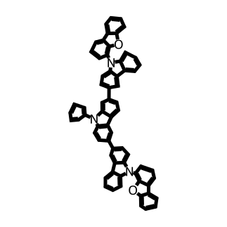 c1ccc(-n2c3ccc(-c4ccc5c(c4)c4ccccc4n5-c4cccc5c4oc4ccccc45)cc3c3ccc(-c4ccc5c(c4)c4ccccc4n5-c4cccc5c4oc4ccccc45)cc32)cc1